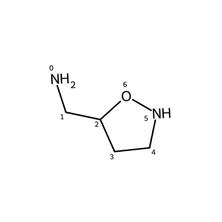 NCC1CCNO1